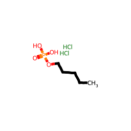 CCCCCOP(=O)(O)O.Cl.Cl